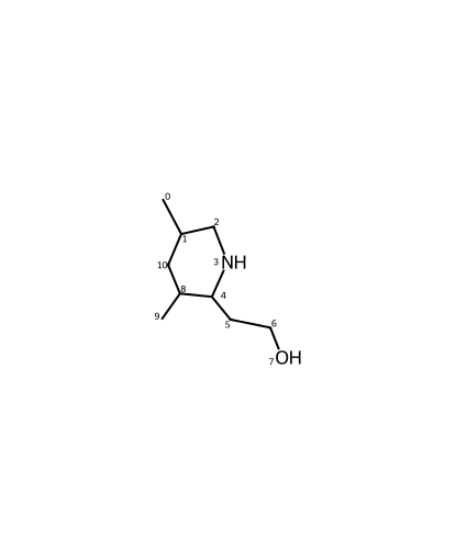 CC1CNC(CCO)C(C)C1